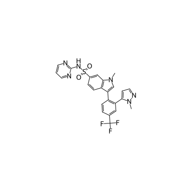 Cn1nccc1-c1cc(C(F)(F)F)ccc1-c1cn(C)c2cc(S(=O)(=O)Nc3ncccn3)ccc12